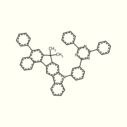 CC1(C)c2cc3c(cc2-c2c1cc(-c1ccccc1)c1ccccc21)c1ccccc1n3-c1cccc(-c2nc(-c3ccccc3)nc(-c3ccccc3)n2)c1